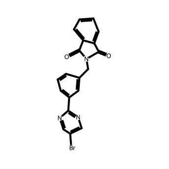 O=C1c2ccccc2C(=O)N1Cc1cccc(-c2ncc(Br)cn2)c1